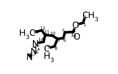 CCOC(=O)CCC(CC)CC(CC)CN=[N+]=[N-]